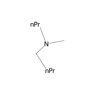 CCCCN(C)CCC